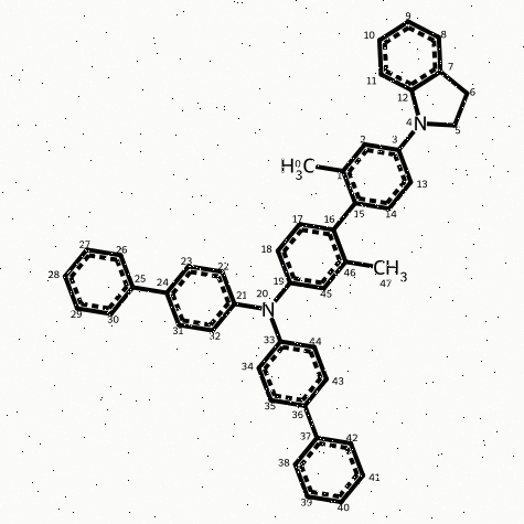 Cc1cc(N2CCc3ccccc32)ccc1-c1ccc(N(c2ccc(-c3ccccc3)cc2)c2ccc(-c3ccccc3)cc2)cc1C